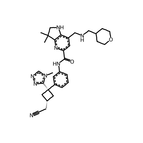 Cn1cnnc1[C@]1(c2cccc(NC(=O)c3cc(CNCC4CCOCC4)c4c(n3)C(C)(C)CN4)c2)C[C@H](CC#N)C1